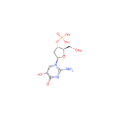 Nc1nc(=O)c(O)cn1[C@H]1C[C@H](OP(=O)(O)O)[C@@H](CO)O1